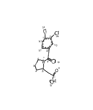 O=C(O)C1CCCN1C(=O)c1ccc(Cl)c(Cl)c1